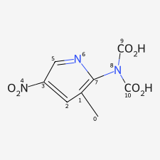 Cc1cc([N+](=O)[O-])cnc1N(C(=O)O)C(=O)O